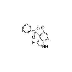 O=S(=O)(c1ccccc1)c1c(Cl)cnc2[nH]cc(I)c12